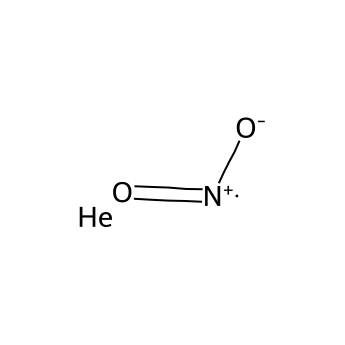 O=[N+][O-].[He]